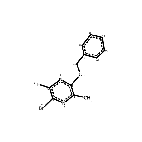 Cc1nc(Br)c(F)nc1OCc1ccccc1